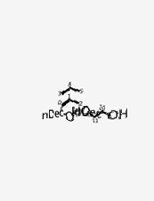 C=CC.C=CC.CCCCCCCCCCOCCCCCCCCCC.OCCO